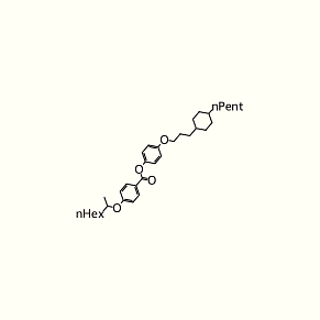 CCCCCCC(C)Oc1ccc(C(=O)Oc2ccc(OCCCC3CCC(CCCCC)CC3)cc2)cc1